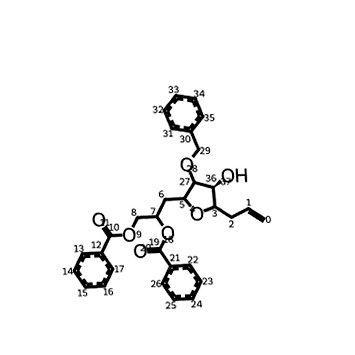 C=CCC1OC(CC(COC(=O)c2ccccc2)OC(=O)c2ccccc2)C(OCc2ccccc2)[C@H]1O